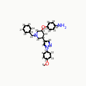 COc1ccc(-n2cc(C3CC(Oc4ccc(N)cc4)CN(Cc4ccccc4)C3)cn2)cc1